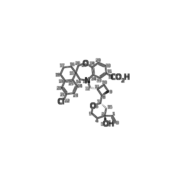 C=C[C@]1(O)CCO[C@H]([C@@H]2CC[C@H]2CN2CC3(CCCc4cc(Cl)ccc43)COc3ccc(C(=O)O)cc32)C1